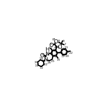 COC(=O)[C@@H](OC(C)(C)C)c1c(C)c2c(c(C)c1-c1ccc(C)cc1)CCN(C1CCCCC1)C(=O)N2